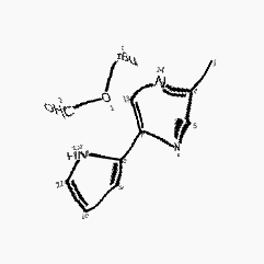 CC(C)(C)OC=O.Cc1cnc(-c2ccc[nH]2)cn1